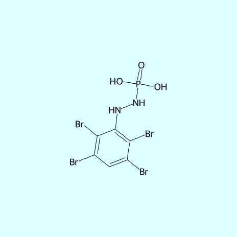 O=P(O)(O)NNc1c(Br)c(Br)cc(Br)c1Br